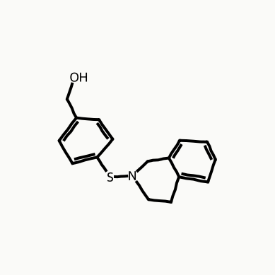 OCc1ccc(SN2CCc3ccccc3C2)cc1